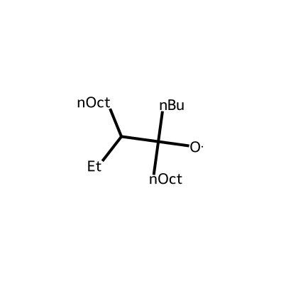 CCCCCCCCC(CC)C([O])(CCCC)CCCCCCCC